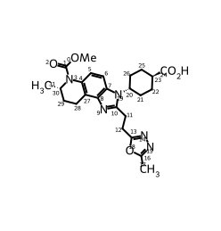 COC(=O)N1c2ccc3c(nc(CCc4nnc(C)o4)n3[C@H]3CC[C@H](C(=O)O)CC3)c2CC[C@@H]1C